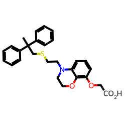 CC(CSCCN1CCOc2c(OCC(=O)O)cccc21)(c1ccccc1)c1ccccc1